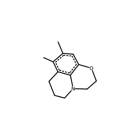 Cc1cc2c3c(c1C)CCCN3CCO2